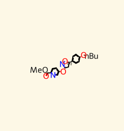 CCCCOc1ccc([C@H]2CC(Oc3ccc(C(=O)OC)nc3)=NO2)cc1